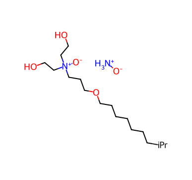 CC(C)CCCCCCCOCCC[N+]([O-])(CCO)CCO.[NH3+][O-]